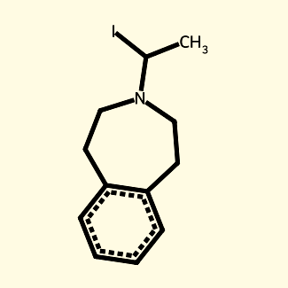 CC(I)N1CCc2ccccc2CC1